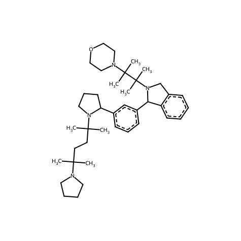 CC(C)(CCC(C)(C)N1CCCC1c1cccc(C2c3ccccc3CN2C(C)(C)C(C)(C)N2CCOCC2)c1)N1CCCC1